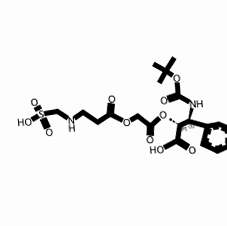 CC(C)(C)OC(=O)N[C@@H](c1ccccc1)[C@@H](OC(=O)COC(=O)CCNCS(=O)(=O)O)C(=O)O